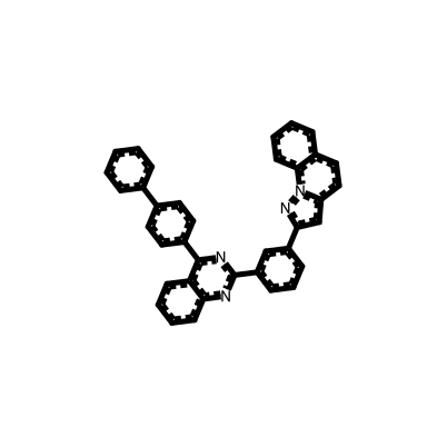 c1ccc(-c2ccc(-c3nc(-c4cccc(-c5cc6ccc7ccccc7n6n5)c4)nc4ccccc34)cc2)cc1